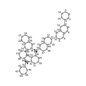 c1ccc(-c2ccc3ccc(-c4ccc5cc(N(c6ccc7ccccc7c6)c6cccc7c6c6ccccc6n7-c6ccccc6)ccc5c4)cc3c2)cc1